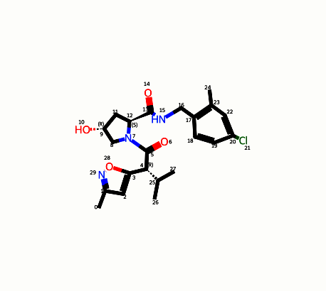 Cc1cc([C@H](C(=O)N2C[C@H](O)C[C@H]2C(=O)NCc2ccc(Cl)cc2C)C(C)C)on1